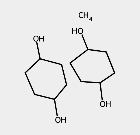 C.OC1CCC(O)CC1.OC1CCC(O)CC1